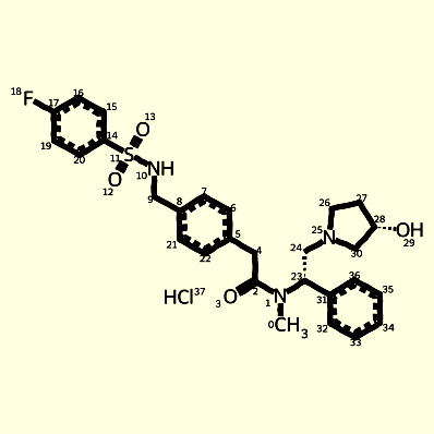 CN(C(=O)Cc1ccc(CNS(=O)(=O)c2ccc(F)cc2)cc1)[C@H](CN1CC[C@H](O)C1)c1ccccc1.Cl